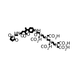 Cc1c(CC(=O)NCCN2C(=O)C=CC2=O)c(=O)oc2cc(NC(=O)CN(CCN(CCN(CCN(CC(=O)O)CC(=O)O)CC(=O)O)CC(=O)O)CC(=O)O)ccc12